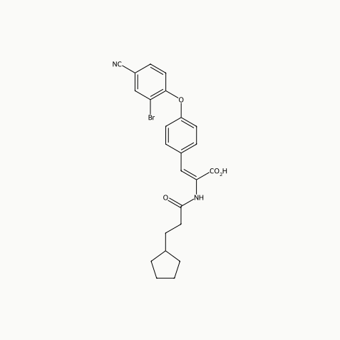 N#Cc1ccc(Oc2ccc(/C=C(/NC(=O)CCC3CCCC3)C(=O)O)cc2)c(Br)c1